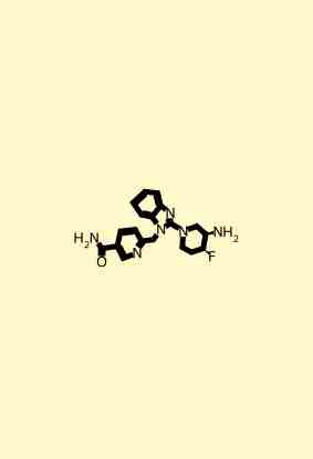 NC(=O)c1ccc(Cn2c(N3CC[C@@H](F)[C@H](N)C3)nc3ccccc32)nc1